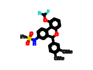 COc1ccc(C2Oc3cccc(OC(F)F)c3-c3ccc(NS(=O)(=O)C(C)C)cc32)cc1OC